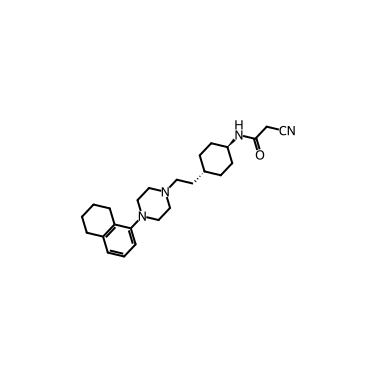 N#CCC(=O)N[C@H]1CC[C@H](CCN2CCN(c3cccc4c3CCCC4)CC2)CC1